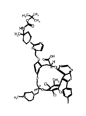 Cc1c(Cl)c2c(Cl)c(C)c1-c1c(-c3ccc(F)cc3)sc3ncnc(c13)O[C@@H](C(=O)O)Cc1cc(ccc1OCc1ccnc(N3CCC(C)(NC(=O)OC(C)(C)C)CC3)n1)OC[C@@H](CN1CCN(C)CC1)O2